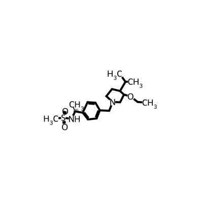 CCOC1CN(Cc2ccc([C@@H](C)NS(C)(=O)=O)cc2)CCC1C(C)C